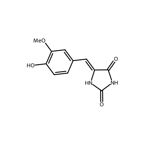 COc1cc(/C=C2\NC(=O)NC2=O)ccc1O